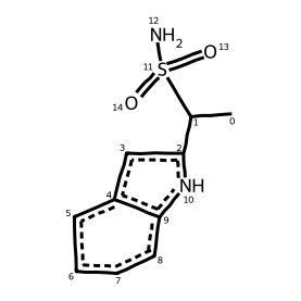 CC(c1cc2ccccc2[nH]1)S(N)(=O)=O